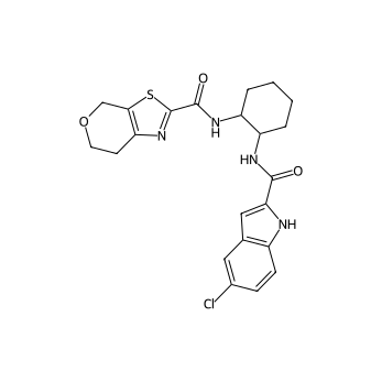 O=C(NC1CCCCC1NC(=O)c1nc2c(s1)COCC2)c1cc2cc(Cl)ccc2[nH]1